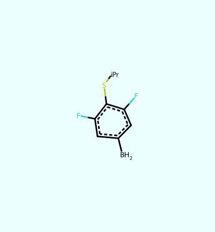 Bc1cc(F)c(SC(C)C)c(F)c1